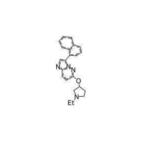 CCN1CCC(Oc2ccc3ncc(-c4cccc5ccccc45)n3n2)C1